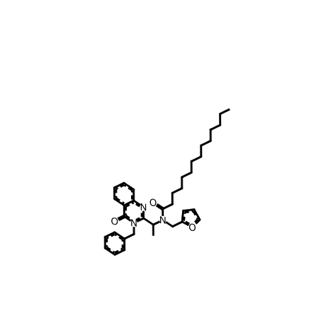 CCCCCCCCCCCCCC(=O)N(Cc1ccco1)C(C)c1nc2ccccc2c(=O)n1Cc1ccccc1